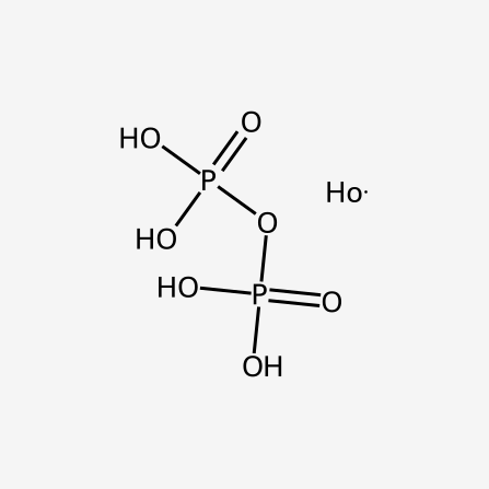 O=P(O)(O)OP(=O)(O)O.[Ho]